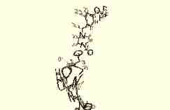 C[C@](O)(COC(=O)N1CCN(Cc2ccc(OC(F)(F)F)cc2)CC1)Cn1cc([N+](=O)[O-])nc1Cl